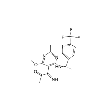 COc1nc(C)nc(N[C@@H](C)c2ccc(C(F)(F)F)cc2)c1C(=N)C(C)=O